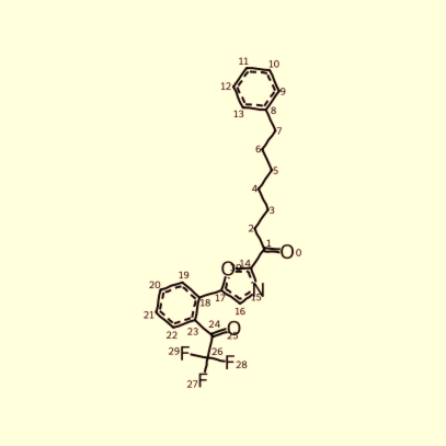 O=C(CCCCCCc1ccccc1)c1ncc(-c2ccccc2C(=O)C(F)(F)F)o1